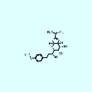 COc1ccc(CC[C@H](O)[C@H]2O[C@@H]3SC(N(C)C)=N[C@@H]3[C@@H](O)[C@@H]2O)cc1